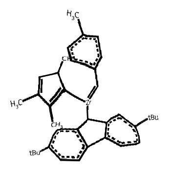 CC1=CC(C)[C]([Zr](=[CH]c2ccc(C)cc2)[CH]2c3cc(C(C)(C)C)ccc3-c3ccc(C(C)(C)C)cc32)=C1C